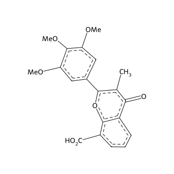 COc1cc(-c2oc3c(C(=O)O)cccc3c(=O)c2C)cc(OC)c1OC